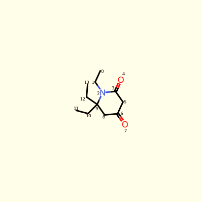 CCN1C(=O)CC(=O)CC1(CC)CC